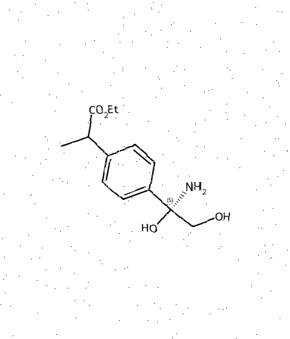 CCOC(=O)C(C)c1ccc([C@](N)(O)CO)cc1